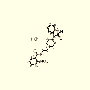 Cl.O=C(NCCN1CCC(n2c(=O)[nH]c3ccccc32)CC1)c1ccccc1[N+](=O)[O-]